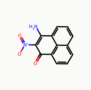 NC1=C([N+](=O)[O-])C(=O)c2cccc3cccc1c23